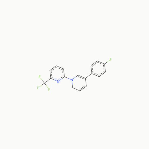 Fc1ccc(C2=CN(c3cccc(C(F)(F)F)n3)CC=C2)cc1